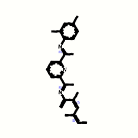 C=C(/N=C(\C)c1cccc(/C(C)=N/c2ccc(C)cc2C)n1)/C(C)=C\C(C)=C/C